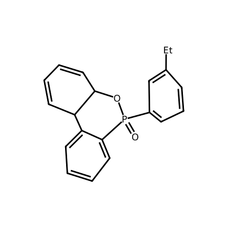 CCc1cccc(P2(=O)OC3C=CC=CC3c3ccccc32)c1